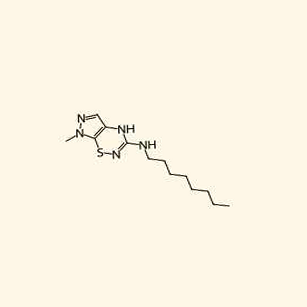 CCCCCCCCNC1=NSc2c(cnn2C)N1